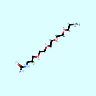 CCC(C)C(=O)NCC(F)COCCOCCOCCOCCNC